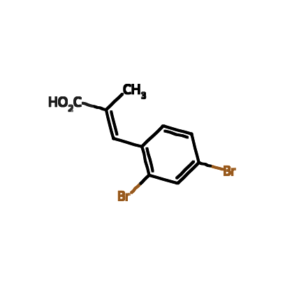 CC(=Cc1ccc(Br)cc1Br)C(=O)O